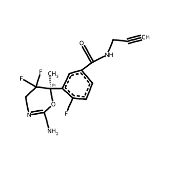 C#CCNC(=O)c1ccc(F)c([C@@]2(C)OC(N)=NCC2(F)F)c1